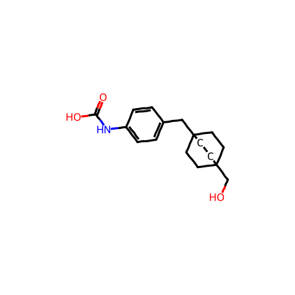 O=C(O)Nc1ccc(CC23CCC(CO)(CC2)CC3)cc1